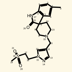 Cc1ccc2c(c1)C1(CCN(Cc3cnn(CCS(C)(=O)=O)c3)CC1)C(=O)N2